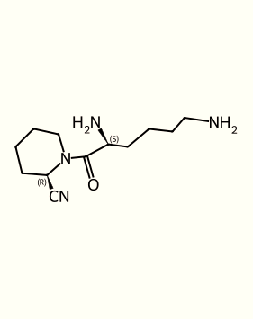 N#C[C@H]1CCCCN1C(=O)[C@@H](N)CCCCN